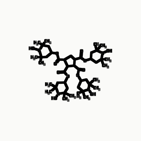 CC1(C)CC(OC(=O)C2CC(C(=O)OC3CC(C)(C)N(O)C(C)(C)C3)C(C(=O)OC3CC(C)(C)N(O)C(C)(C)C3)C2C(=O)OC2CC(C)(C)N(O)C(C)(C)C2)CC(C)(C)N1O